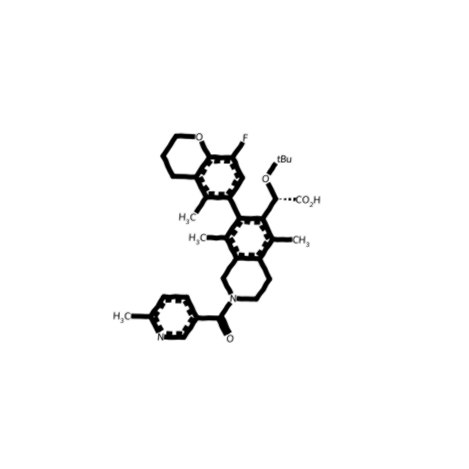 Cc1ccc(C(=O)N2CCc3c(C)c([C@H](OC(C)(C)C)C(=O)O)c(-c4cc(F)c5c(c4C)CCCO5)c(C)c3C2)cn1